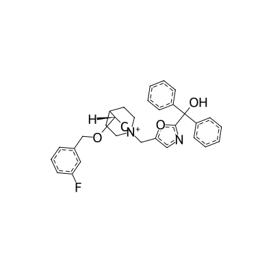 OC(c1ccccc1)(c1ccccc1)c1ncc(C[N+]23CCC(CC2)[C@@H](OCc2cccc(F)c2)C3)o1